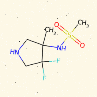 CC1(NS(C)(=O)=O)CNCC1(F)F